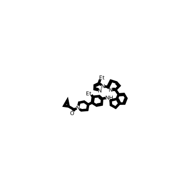 CCc1cc(NC2CCc3cccc(-c4cccc(-n5nccc5CC)n4)c32)ccc1C1CCN(C(=O)C2CC2)CC1